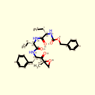 CC(C)C[C@H](NC(=O)OCc1ccccc1)C(=O)N[C@@H](CC(C)C)C(=O)N[C@@H](Cc1ccccc1)C(=O)[C@@]1(C)CO1